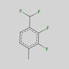 Cc1ccc([C](F)F)c(F)c1F